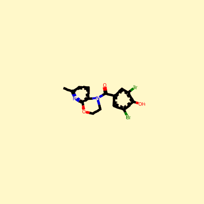 Cc1ccc2c(n1)OCCN2C(=O)c1cc(Br)c(O)c(Br)c1